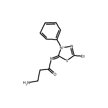 CCC1=N[N+](c2ccccc2)C(=NC(=O)CCN)S1